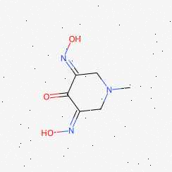 CN1C/C(=N/O)C(=O)/C(=N/O)C1